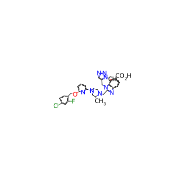 C[C@H]1CN(c2cccc(OCc3ccc(Cl)cc3F)n2)CCN1Cc1nc2ccc(C(=O)O)cc2n1Cc1cnnn1C